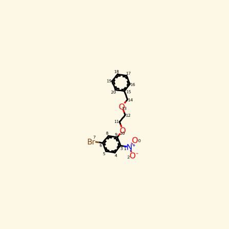 O=[N+]([O-])c1ccc(Br)cc1OCCOCc1ccccc1